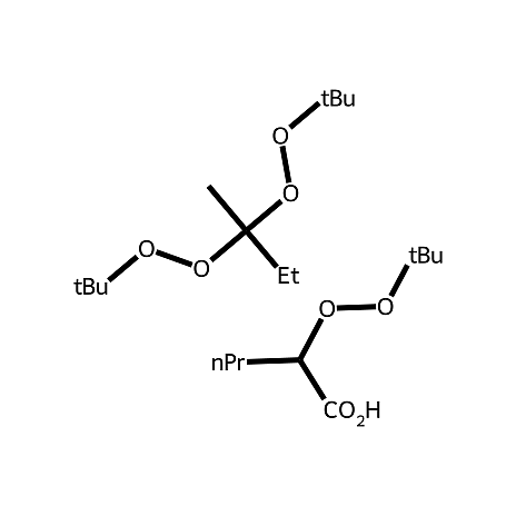 CCC(C)(OOC(C)(C)C)OOC(C)(C)C.CCCC(OOC(C)(C)C)C(=O)O